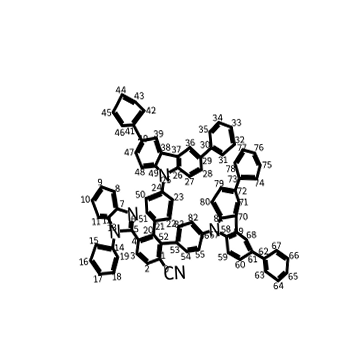 N#Cc1ccc(-c2nc3ccccc3n2-c2ccccc2)c(-c2ccc(-n3c4ccc(-c5ccccc5)cc4c4cc(-c5ccccc5)ccc43)cc2)c1-c1ccc(-n2c3ccc(-c4ccccc4)cc3c3cc(-c4ccccc4)ccc32)cc1